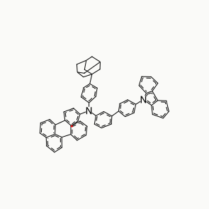 c1ccc(-c2cccc3cccc(-c4ccc(N(c5ccc(C67CC8CC(CC(C8)C6)C7)cc5)c5cccc(-c6ccc(-n7c8ccccc8c8ccccc87)cc6)c5)cc4)c23)cc1